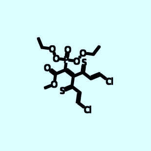 CCOOP(=O)(OOCC)C(C(=O)OC)=C(C(=S)C=CCl)C(=S)C=CCl